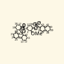 COc1cc(S(=O)(=O)OS(c2ccccc2)(c2ccccc2)c2ccccc2)ccc1OS(=O)(=O)c1ccc2ccccc2c1